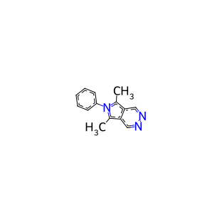 Cc1c2cnncc2c(C)n1-c1ccccc1